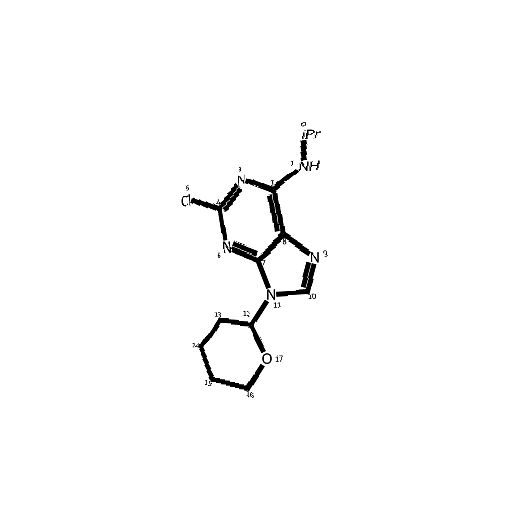 CC(C)Nc1nc(Cl)nc2c1ncn2C1CCCCO1